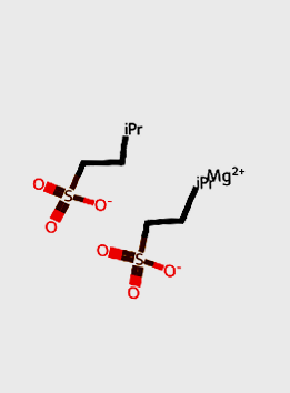 CC(C)CCS(=O)(=O)[O-].CC(C)CCS(=O)(=O)[O-].[Mg+2]